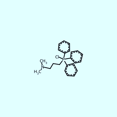 CN(C)CCCP(Cl)(c1ccccc1)(c1ccccc1)c1ccccc1